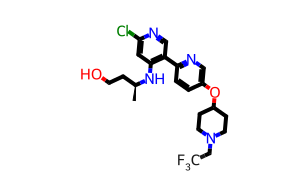 C[C@@H](CCO)Nc1cc(Cl)ncc1-c1ccc(OC2CCN(CC(F)(F)F)CC2)cn1